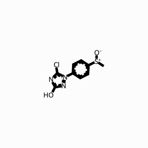 C[S+]([O-])c1ccc(-n2nc(O)nc2Cl)cc1